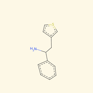 NC(Cc1ccsc1)c1ccccc1